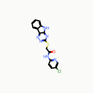 O=C(CSc1nnc2c(n1)[nH]c1ccccc12)Nc1ccc(Cl)cn1